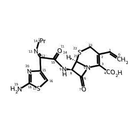 C=CC1=C(C(=O)O)N2C(=O)[C@@H](NC(=O)/C(=N\C(C)C)c3csc(N)n3)[C@H]2SC1